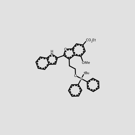 CCOC(=O)c1cc(OC)c2c(CCO[Si](c3ccccc3)(c3ccccc3)C(C)(C)C)c(-c3cc4ccccc4[nH]3)oc2c1